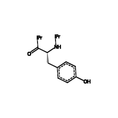 CC(C)N[C@H](Cc1ccc(O)cc1)C(=O)C(C)C